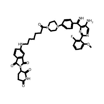 COc1cccc(F)c1-c1ncc(N)c(C(=N)c2ccc(N3CCN(C(=O)CCCCCNc4ccc5c(c4)C(=O)N(C4CCC(=O)NC4=O)C5=O)CC3)cc2)n1